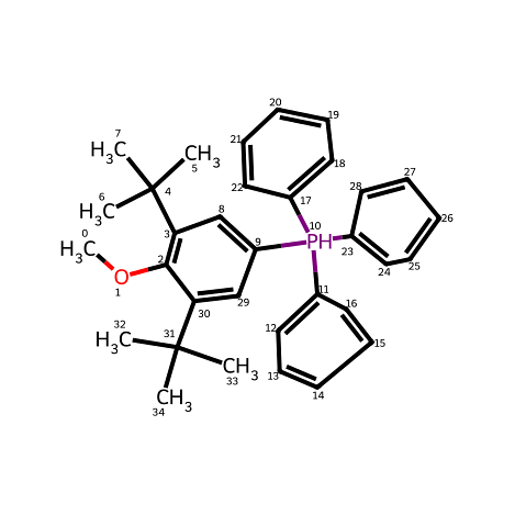 COc1c(C(C)(C)C)cc([PH](c2ccccc2)(c2ccccc2)c2ccccc2)cc1C(C)(C)C